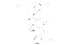 CCC(CC)n1c(NS(=O)(=O)C(C)C(OC)c2ncc(Cl)cn2)nnc1-c1cccc(OC)n1